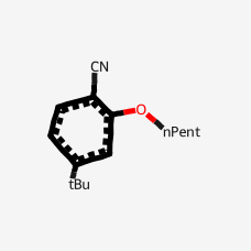 CCCCCOc1cc(C(C)(C)C)ccc1C#N